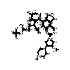 CN1CCN(C2CN(c3ncc4c5c(c(-c6ncc(F)c7sc(NC(=O)OC(C)(C)C)c(C#N)c67)c(F)c4n3)COC5)CC2O)CC1